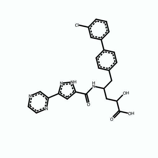 O=C(NC(Cc1ccc(-c2cccc(Cl)c2)cc1)CC(O)C(=O)O)c1cc(-c2cnccn2)n[nH]1